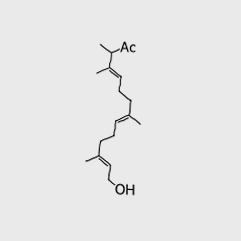 CC(=O)C(C)C(C)=CCCC(C)=CCCC(C)=CCO